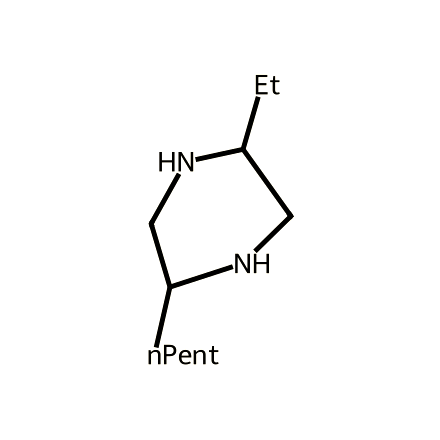 CCCCCC1CNC(CC)CN1